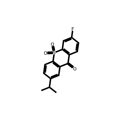 CC(C)c1ccc2c(c1)C(=O)c1ccc(F)cc1S2(=O)=O